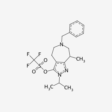 CC1CN(Cc2ccccc2)CCc2c1nn(C(C)C)c2OS(=O)(=O)C(F)(F)F